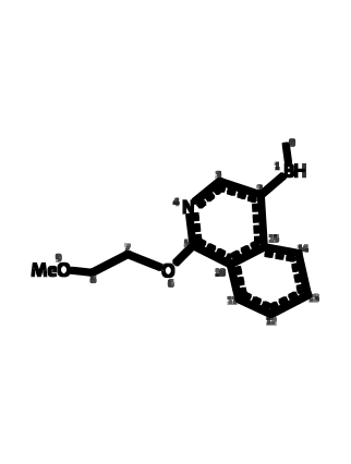 CBc1cnc(OCCOC)c2ccccc12